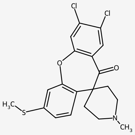 CSc1ccc2c(c1)Oc1cc(Cl)c(Cl)cc1C(=O)C21CCN(C)CC1